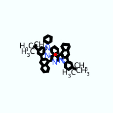 CC(C)(C)c1ccc2c(c1)c1cc3ccccc3c3c4cc5c(nc4n2c13)c1c2ccccc2cc2c3cc(C(C)(C)C)cc(N(c4ccccc4)c4ccccc4)c3n5c21